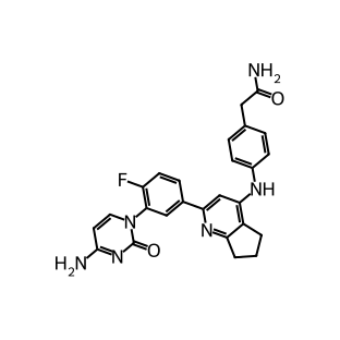 NC(=O)Cc1ccc(Nc2cc(-c3ccc(F)c(-n4ccc(N)nc4=O)c3)nc3c2CCC3)cc1